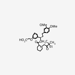 CCC(C)(C)C(=O)CN1CCCCC1C(=O)O[C@H](CCc1ccc(OC)c(OC)c1)c1cccc(OCC(=O)O)c1